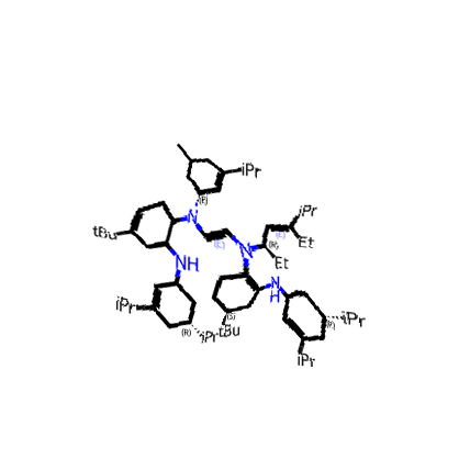 CC/C(=C\[C@@H](CC)N(/C=C/N(C1CC=C(C(C)(C)C)CC1NC1C=C(C(C)C)C[C@@H](C(C)C)C1)[C@H]1C=C(C(C)C)CC(C)C1)C1=C(NC2C=C(C(C)C)C[C@@H](C(C)C)C2)C[C@@H](C(C)(C)C)CC1)C(C)C